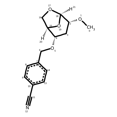 CO[C@@H]1C[C@H](OCc2ccc(C#N)cc2)[C@H]2CO[C@@H]1O2